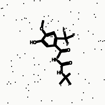 COc1cc(C(F)(F)F)c(C(=O)NC(=O)NC(C)(C)C)cc1O